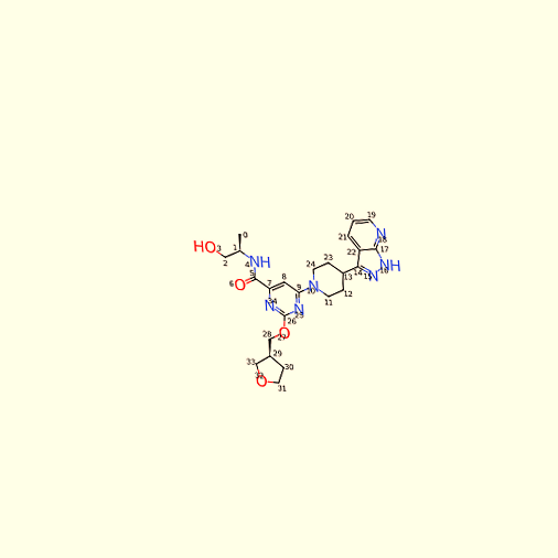 C[C@H](CO)NC(=O)c1cc(N2CCC(c3n[nH]c4ncccc34)CC2)nc(OC[C@H]2CCOC2)n1